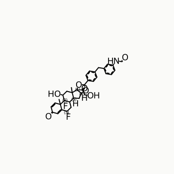 CC12C=CC(=O)C=C1[C@@H](F)CC1[C@@H]3C[C@H]4OC(c5ccc(Cc6cccc(NC=O)c6)cc5)O[C@@]4(C(=O)CO)C3(C)CC(O)[C@@]12F